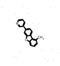 Cc1cccc2oc3cc(-c4cccnc4)ccc3c12